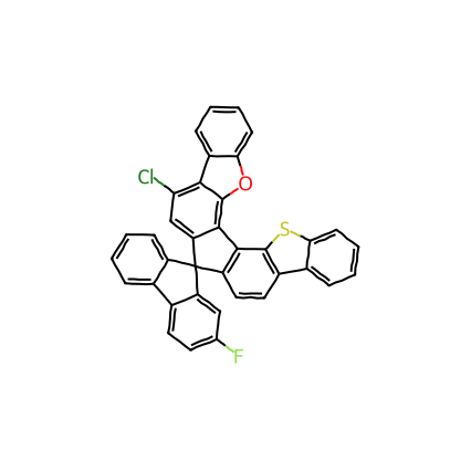 Fc1ccc2c(c1)C1(c3ccccc3-2)c2cc(Cl)c3c(oc4ccccc43)c2-c2c1ccc1c2sc2ccccc21